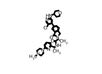 C[C@H](C(=O)N[C@H](C)c1cccc(N2CCN(C)CC2)n1)N1Cc2ccc(-c3cc(NC4CCOCC4)ncc3Cl)cc2C1=O